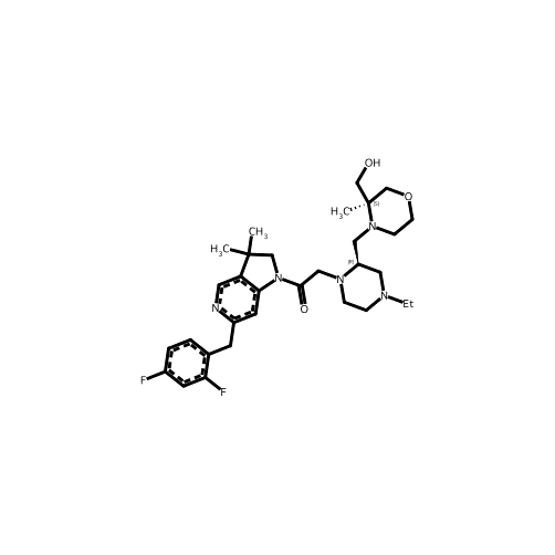 CCN1CCN(CC(=O)N2CC(C)(C)c3cnc(Cc4ccc(F)cc4F)cc32)[C@@H](CN2CCOC[C@]2(C)CO)C1